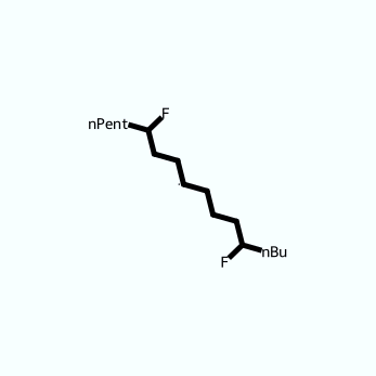 CCCCCC(F)CC[CH]CCCC(F)CCCC